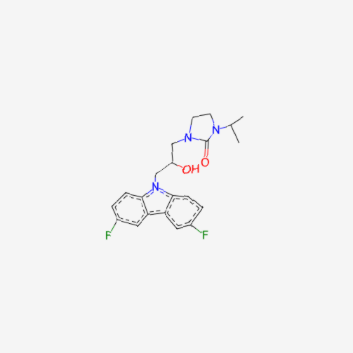 CC(C)N1CCN(CC(O)Cn2c3ccc(F)cc3c3cc(F)ccc32)C1=O